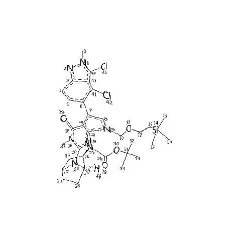 Cn1nc2ccc(-c3cn(COCC[Si](C)(C)C)c4nc(N5C6CC[C@@H]5[C@H](NC(=O)OC(C)(C)C)C6)n(C)c(=O)c34)c(Cl)c2c1Cl